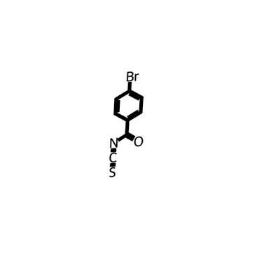 O=C(N=C=S)c1ccc(Br)cc1